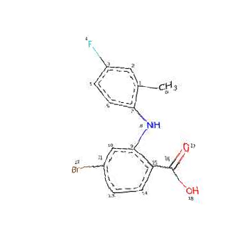 Cc1cc(F)ccc1Nc1cc(Br)ccc1C(=O)O